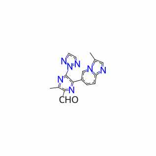 Cc1nc(-n2nccn2)c(-c2ccc3ncc(C)n3c2)nc1C=O